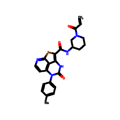 C=CC(=O)N1CCCC(NC(=O)c2sc3nccc4c3c2NC(=O)N4c2ccc(C(C)(C)C)cc2)C1